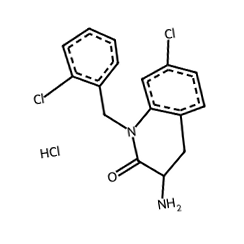 Cl.NC1Cc2ccc(Cl)cc2N(Cc2ccccc2Cl)C1=O